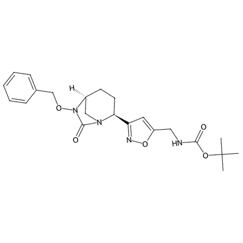 CC(C)(C)OC(=O)NCc1cc([C@@H]2CC[C@H]3CN2C(=O)N3OCc2ccccc2)no1